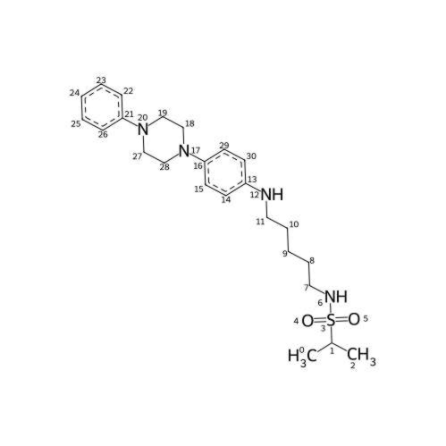 CC(C)S(=O)(=O)NCCCCCNc1ccc(N2CCN(c3ccccc3)CC2)cc1